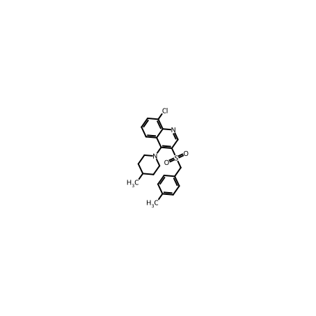 Cc1ccc(CS(=O)(=O)c2cnc3c(Cl)cccc3c2N2CCC(C)CC2)cc1